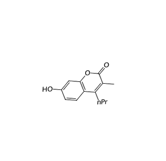 CCCc1c(C)c(=O)oc2cc(O)ccc12